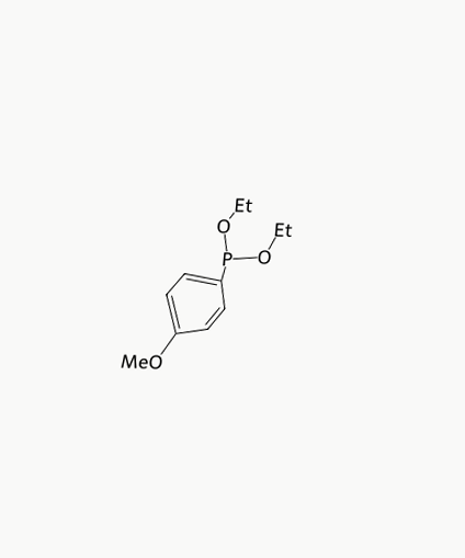 CCOP(OCC)c1ccc(OC)cc1